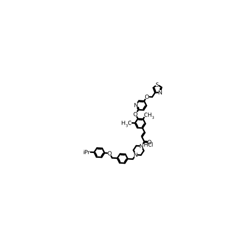 Cc1cc(/C=C/C(=O)N2CCN(Cc3ccc(COc4ccc(C(C)C)cc4)cc3)CC2)cc(C)c1Oc1ccc(OCc2cscn2)cn1.Cl